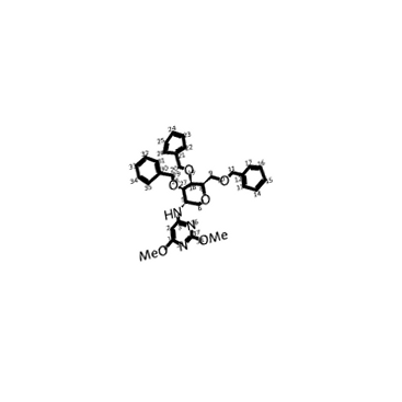 COc1cc(N[C@H]2CO[C@H](COCc3ccccc3)[C@H](OCc3ccccc3)[C@@H]2OCc2ccccc2)nc(OC)n1